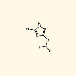 CC(C)c1nc(OC(F)F)n[nH]1